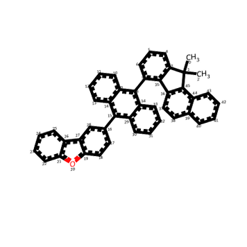 CC1(C)c2cccc(-c3c4ccccc4c(-c4ccc5oc6ccccc6c5c4)c4ccccc34)c2-c2ccc3ccccc3c21